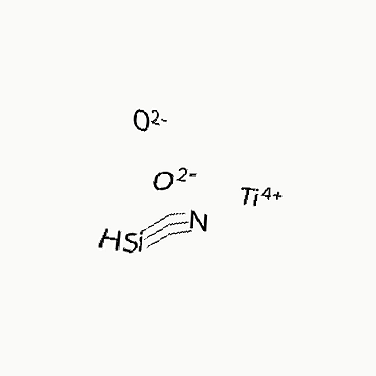 N#[SiH].[O-2].[O-2].[Ti+4]